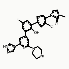 Cn1ccn(-c2ccc(-c3cc(F)cc(-c4cc(-c5cn[nH]c5)nc(N5CCNCC5)c4)c3O)cc2Cl)c1=O